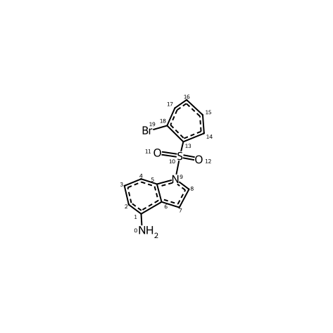 Nc1cccc2c1ccn2S(=O)(=O)c1ccccc1Br